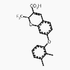 Cc1cccc(Oc2ccc3c(c2)OC(C(F)(F)F)C(C(=O)O)=C3)c1C